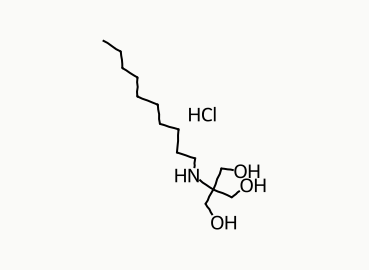 CCCCCCCCCCNC(CO)(CO)CO.Cl